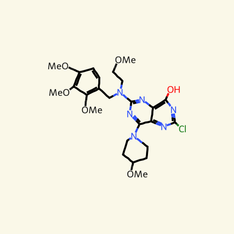 COCCN(Cc1ccc(OC)c(OC)c1OC)c1nc(N2CCC(OC)CC2)c2nc(Cl)nc(O)c2n1